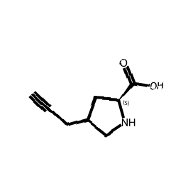 C#CCC1CN[C@H](C(=O)O)C1